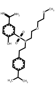 COCCOCCN(CCc1ccc(C(C)C)cc1)S(=O)(=O)c1cc(C(=N)N)ccc1O